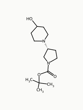 CC(C)(C)OC(=O)N1CC[C@@H](N2CCC(O)CC2)C1